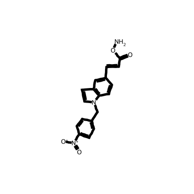 NOC(=O)/C=C/c1ccc2c(ccn2Cc2ccc([N+](=O)[O-])cc2)c1